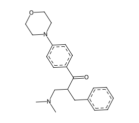 CN(C)CC(Cc1ccccc1)C(=O)c1ccc(N2CCOCC2)cc1